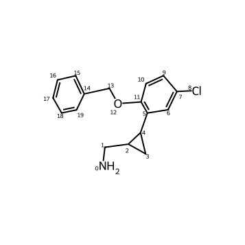 NCC1CC1c1cc(Cl)ccc1OCc1ccccc1